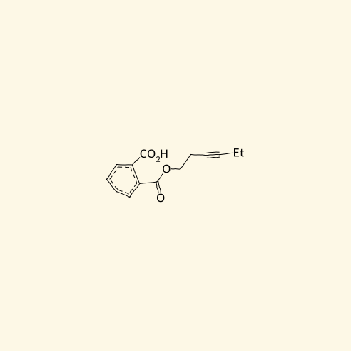 CCC#CCCOC(=O)c1ccccc1C(=O)O